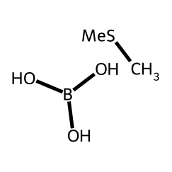 CSC.OB(O)O